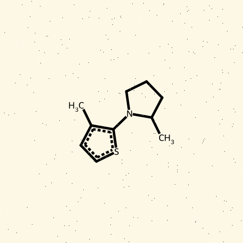 Cc1ccsc1N1CCCC1C